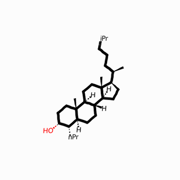 CCC[C@@H]1[C@H](O)CC[C@@]2(C)[C@H]1CC[C@@H]1[C@@H]2CC[C@]2(C)[C@@H]([C@H](C)CCCC(C)C)CC[C@@H]12